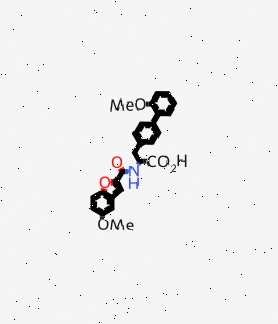 COc1ccc2oc(C(=O)NC(Cc3ccc(-c4ccccc4OC)cc3)C(=O)O)cc2c1